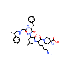 CC(C)C[C@@H](NC(=O)[C@@H](Cc1ccccc1)NC(=O)CNC[C@H](C)c1ccccc1)C(=O)NC(CCCCN)C(=O)N1CCC(N)(C(=O)O)CC1